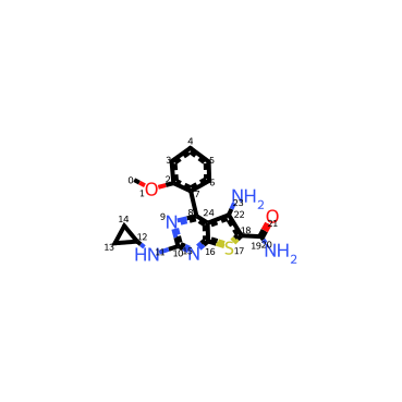 COc1ccccc1-c1nc(NC2CC2)nc2sc(C(N)=O)c(N)c12